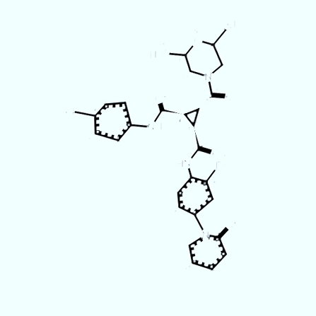 CC1CN(C(=O)[C@H]2[C@H](C(=O)Nc3ccc(Cl)cc3)[C@@H]2C(=O)Nc2ccc(-n3ccccc3=O)cc2F)CC(C)O1